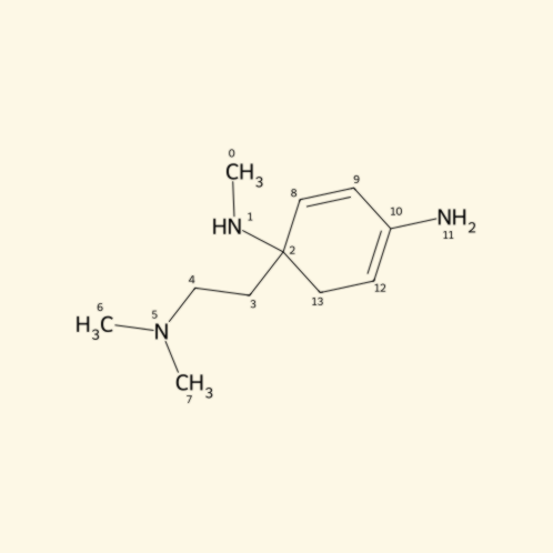 CNC1(CCN(C)C)C=CC(N)=CC1